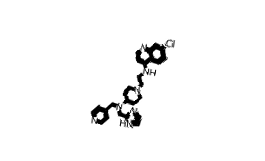 Clc1ccc2c(NCCN3CCC(N(Cc4ccncc4)Cc4ncc[nH]4)CC3)ccnc2c1